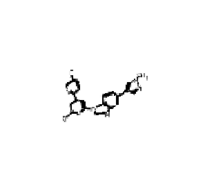 Cn1cc(-c2ccc3c(c2)ncn3-c2cc(-c3ccc(F)cn3)cc(Cl)n2)cn1